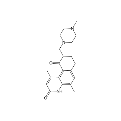 Cc1cc2c(c3c(C)cc(=O)[nH]c13)C(=O)C(CN1CCN(C)CC1)CC2